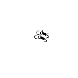 [S]=[Cd].[S]=[Cd]